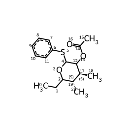 CCC1OC(Sc2ccccc2)C(OC(C)=O)[C@@H](C)[C@@H]1C